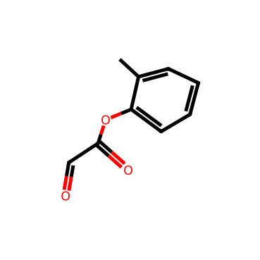 Cc1ccccc1OC(=O)C=O